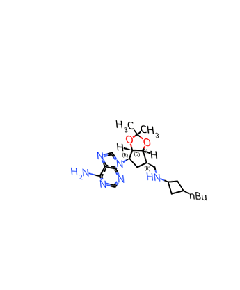 CCCCC1CC(NC[C@H]2C[C@@H](n3cnc4c(N)ncnc43)[C@@H]3OC(C)(C)O[C@H]23)C1